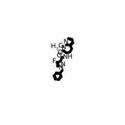 CN1C(=O)C(NC(=O)c2nn(Cc3ccccc3)cc2F)CCc2cccnc21